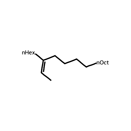 CC=C(CCCCCC)CCCCCCCCCCCC